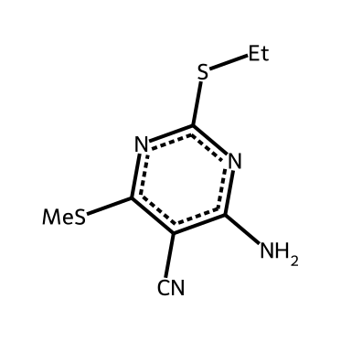 CCSc1nc(N)c(C#N)c(SC)n1